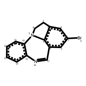 Brc1cc2c3c(c1)CCN3c1ccccc1N=C2